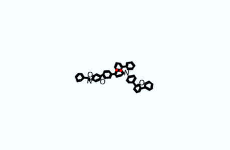 c1ccc(-c2nc3cc4oc5cc(-c6ccc(N(c7ccc(-c8cccc9c8oc8ccccc89)cc7)c7ccccc7-c7ccccc7)cc6)ccc5c4cc3o2)cc1